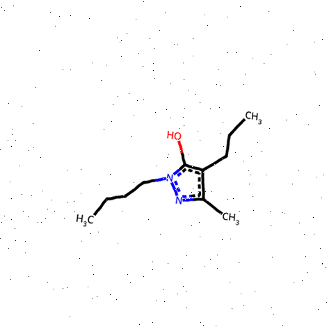 CCCCn1nc(C)c(CCC)c1O